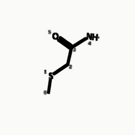 CSCC([NH])=O